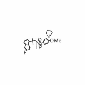 COc1ccc(S(=O)(=O)NCC(C)(C)c2cccc3cc(F)ccc23)cc1N1CCCCC1